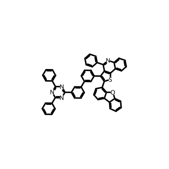 c1ccc(-c2nc(-c3ccccc3)nc(-c3cccc(-c4cccc(-c5c(-c6cccc7c6oc6ccccc67)sc6c5c(-c5ccccc5)nc5ccccc56)c4)c3)n2)cc1